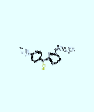 CCOC(=O)Cc1cccc(C(S)c2ccc([N+](=O)[O-])cc2)c1